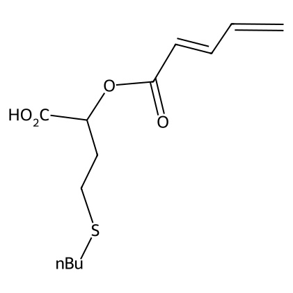 C=C/C=C/C(=O)OC(CCSCCCC)C(=O)O